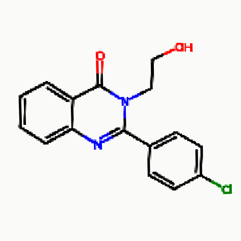 O=c1c2ccccc2nc(-c2ccc(Cl)cc2)n1CCO